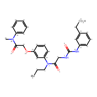 CCC(C)CCN(C(=O)CNC(=O)Nc1cccc(CC(=O)O)c1)c1cccc(OCC(=O)N(C)c2ccccc2)c1